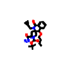 CCCCOC1c2ccccc2C(=O)N(CC2CC2)C1(/C=C/C(N)=O)CNC(=O)OC(C)(C)C